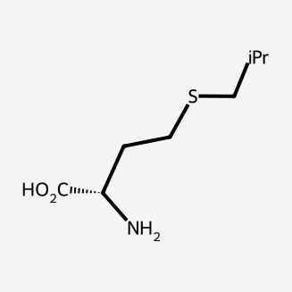 CC(C)CSCC[C@H](N)C(=O)O